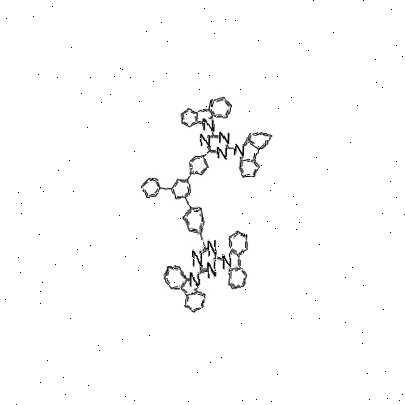 c1ccc(-c2cc(-c3ccc(-c4nc(-n5c6ccccc6c6ccccc65)nc(-n5c6ccccc6c6ccccc65)n4)cc3)cc(-c3ccc(-c4nc(-n5c6ccccc6c6ccccc65)nc(-n5c6ccccc6c6ccccc65)n4)cc3)c2)cc1